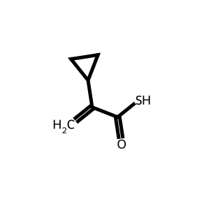 C=C(C(=O)S)C1CC1